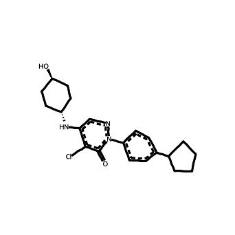 O=c1c(Cl)c(N[C@H]2CC[C@H](O)CC2)cnn1-c1ccc(C2CCCC2)cc1